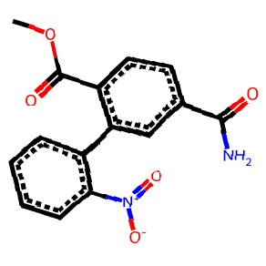 COC(=O)c1ccc(C(N)=O)cc1-c1ccccc1[N+](=O)[O-]